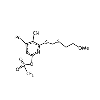 COCCSCSc1nc(OS(=O)(=O)C(F)(F)F)cc(C(C)C)c1C#N